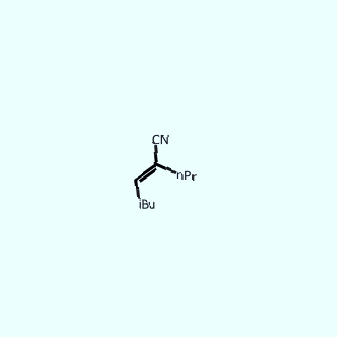 CCC/C(C#N)=C\C(C)CC